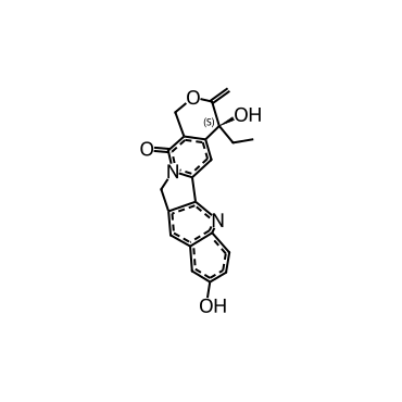 C=C1OCc2c(cc3n(c2=O)Cc2cc4cc(O)ccc4nc2-3)[C@@]1(O)CC